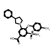 Cc1ccc(Oc2c(N3CCC(c4ccccc4)C3)cc(C(=O)O)cc2S(N)(=O)=O)cc1